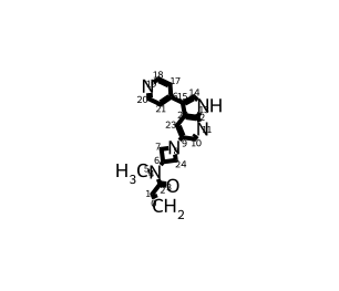 C=CC(=O)N(C)C1CN(c2cnc3[nH]cc(-c4ccncc4)c3c2)C1